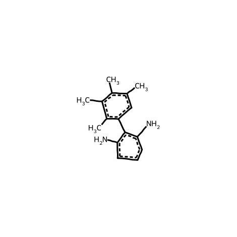 Cc1cc(-c2c(N)cccc2N)c(C)c(C)c1C